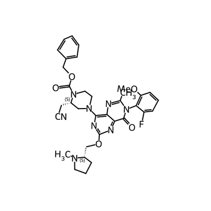 COc1cccc(F)c1-n1c(C)nc2c(N3CCN(C(=O)OCc4ccccc4)[C@@H](CC#N)C3)nc(OC[C@@H]3CCCN3C)nc2c1=O